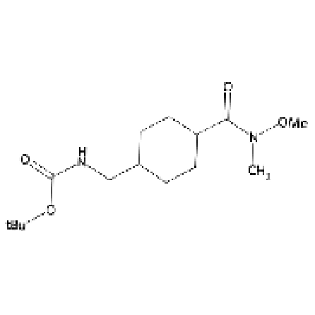 CON(C)C(=O)C1CCC(CNC(=O)OC(C)(C)C)CC1